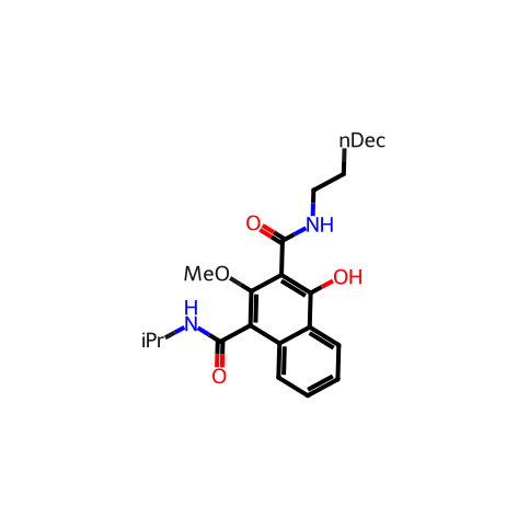 CCCCCCCCCCCCNC(=O)c1c(OC)c(C(=O)NC(C)C)c2ccccc2c1O